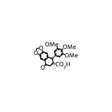 COc1cc([C@@H]2c3cc4c(cc3C(=O)C[C@H]2C(=O)O)OCO4)cc(OC)c1OC